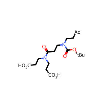 CC(=O)CCN(CCC(=O)N(CCC(=O)O)CCC(=O)O)C(=O)OC(C)(C)C